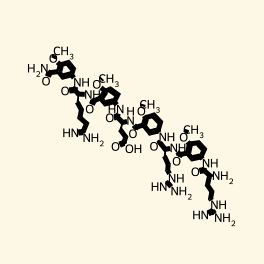 COc1ccc(NC(=O)[C@H](CCCCC(=N)N)NC(=O)c2cc(NC(=O)[C@H](CCC(=O)O)NC(=O)c3cc(NC(=O)[C@H](CCCNC(=N)N)NC(=O)c4cc(NC(=O)[C@@H](N)CCCNC(=N)N)ccc4OC)ccc3OC)ccc2OC)cc1C(N)=O